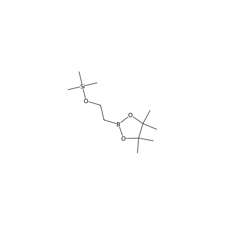 CC1(C)OB(CCO[Si](C)(C)C)OC1(C)C